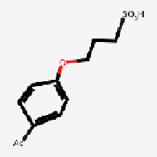 CC(=O)c1ccc(OCCCS(=O)(=O)O)cc1